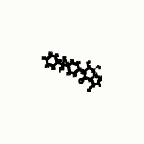 C[C@H]1[C@H](C)n2ncc(I)c2C(=O)N1c1ccc(C(F)(F)c2ccccc2)cc1